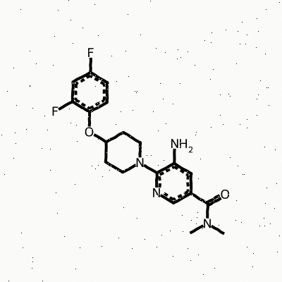 CN(C)C(=O)c1cnc(N2CCC(Oc3ccc(F)cc3F)CC2)c(N)c1